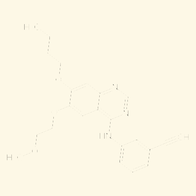 C#Cc1cccc(Nc2ncnc3cc(OCCCC)c(OCCOC)cc23)c1